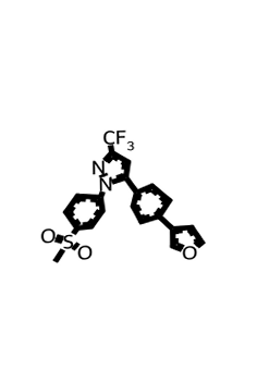 CS(=O)(=O)c1ccc(-n2nc(C(F)(F)F)cc2-c2ccc(-c3ccoc3)cc2)cc1